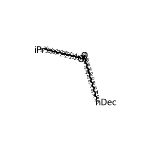 CCCCCCCCCCCCCCCCCCCCCCCCCCCCC(=O)OCCCCCCCCCCCCCCCC(C)C